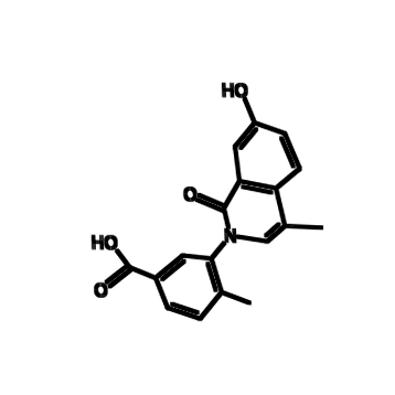 Cc1ccc(C(=O)O)cc1-n1cc(C)c2ccc(O)cc2c1=O